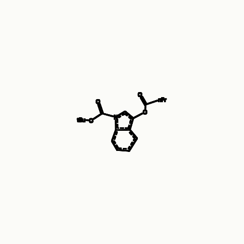 CCCC(=O)Oc1cn(C(=O)OC(C)(C)C)c2ccccc12